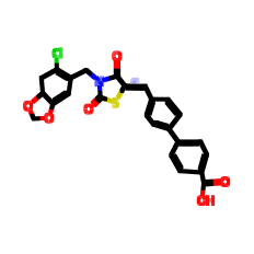 O=C(O)c1ccc(-c2ccc(/C=C3\SC(=O)N(CC4=C(Cl)CC5OCOC5=C4)C3=O)cc2)cc1